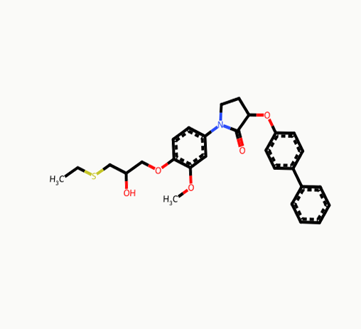 CCSCC(O)COc1ccc(N2CCC(Oc3ccc(-c4ccccc4)cc3)C2=O)cc1OC